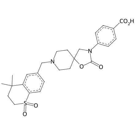 CC1(C)CCS(=O)(=O)c2ccc(CN3CCC4(CC3)CN(c3ccc(C(=O)O)cc3)C(=O)O4)cc21